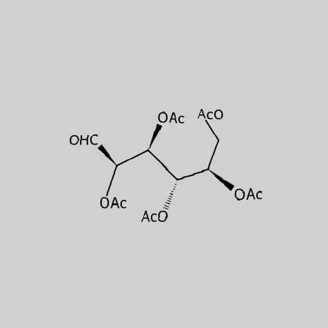 CC(=O)OC[C@@H](OC(C)=O)[C@H](OC(C)=O)[C@H](OC(C)=O)[C@H](C=O)OC(C)=O